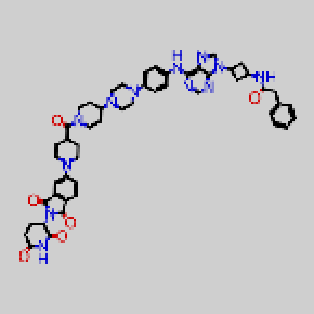 O=C1CC[C@H](N2C(=O)c3ccc(N4CCC(C(=O)N5CCC(N6CCN(c7ccc(Nc8ncnc9c8ncn9C8CC(NC(=O)Cc9ccccc9)C8)cc7)CC6)CC5)CC4)cc3C2=O)C(=O)N1